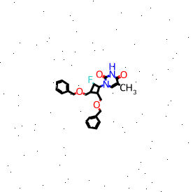 Cc1cn(C2C(F)C(COCc3ccccc3)C2COCc2ccccc2)c(=O)[nH]c1=O